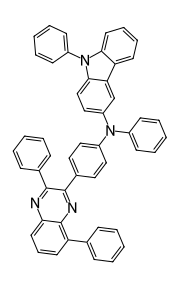 c1ccc(-c2nc3cccc(-c4ccccc4)c3nc2-c2ccc(N(c3ccccc3)c3ccc4c(c3)c3ccccc3n4-c3ccccc3)cc2)cc1